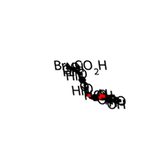 C[C@]12C=CC(=O)C=C1CC[C@@H]1[C@@H]2[C@@H](O)C[C@@]2(C)[C@H]1C[C@H]1O[C@@H](c3ccc(CC45CC(NC(=O)OCc6ccc(NC(=O)[C@H](CCC(=O)O)NC(=O)CNC(=O)CBr)cc6)(C4)C5)cc3)O[C@]12C(=O)CO